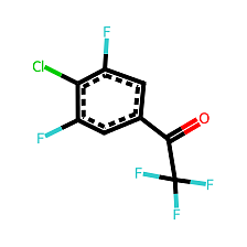 O=C(c1cc(F)c(Cl)c(F)c1)C(F)(F)F